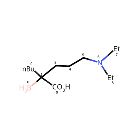 BC(CCCC)(CCCN(CC)CC)C(=O)O